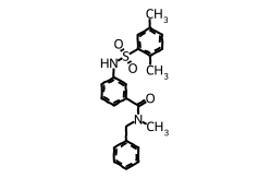 Cc1ccc(C)c(S(=O)(=O)Nc2cccc(C(=O)N(C)Cc3ccccc3)c2)c1